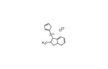 CC1CC2CC=CC=C2[CH]1[Zr+2][C]1=CC=CC1.[Cl-].[Cl-]